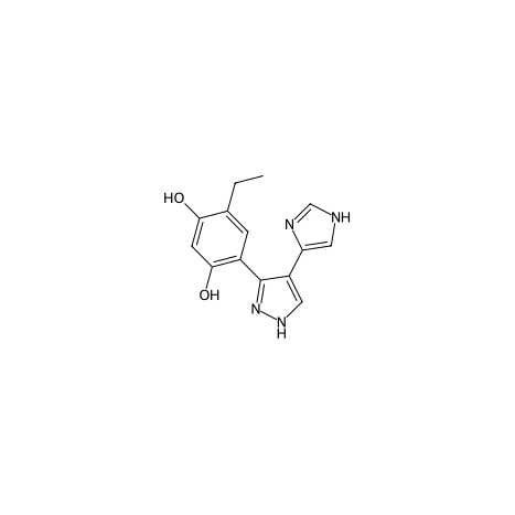 CCc1cc(-c2n[nH]cc2-c2c[nH]cn2)c(O)cc1O